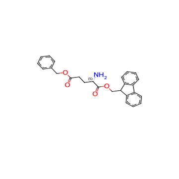 N[C@@H](CCC(=O)OCc1ccccc1)C(=O)OCC1c2ccccc2-c2ccccc21